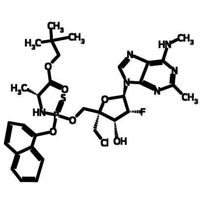 CNc1nc(C)nc2c1ncn2[C@@H]1O[C@](CCl)(COP(=S)(N[C@H](C)C(=O)OCC(C)(C)C)Oc2cccc3ccccc23)[C@@H](O)[C@H]1F